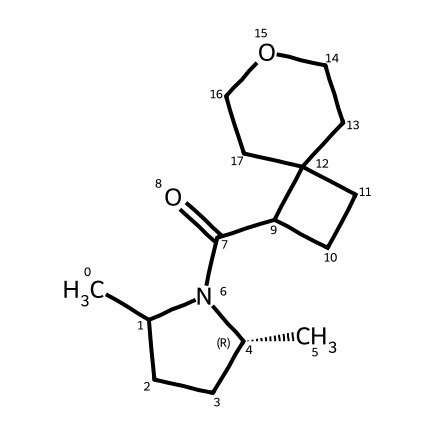 CC1CC[C@@H](C)N1C(=O)C1CCC12CCOCC2